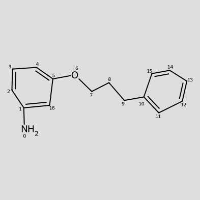 Nc1cccc(OCCCc2ccccc2)c1